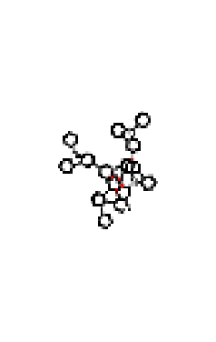 c1ccc(-c2cccc(-c3ccccc3)c2-c2ccnc3cc(-n4c5ccccc5c5cc(-c6ccc7c(c6)c6ccccc6n7-c6ccccc6)ccc54)c(-n4c5ccccc5c5cc(-c6ccc7c(c6)c6ccccc6n7-c6ccccc6)ccc54)cc23)cc1